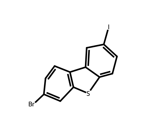 Brc1ccc2c(c1)sc1ccc(I)cc12